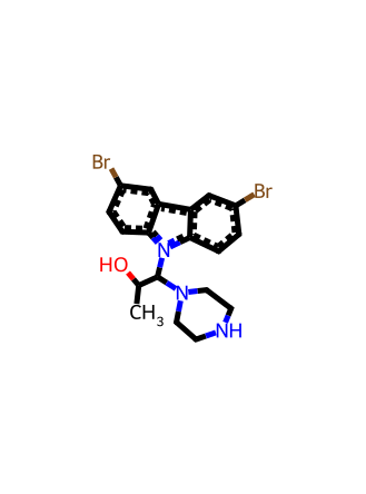 CC(O)C(N1CCNCC1)n1c2ccc(Br)cc2c2cc(Br)ccc21